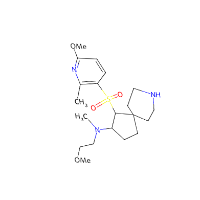 COCCN(C)C1CCC2(CCNCC2)C1S(=O)(=O)c1ccc(OC)nc1C